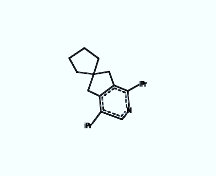 CC(C)c1cnc(C(C)C)c2c1CC1(CCCC1)C2